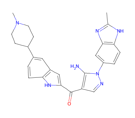 Cc1nc2cc(-n3ncc(C(=O)c4cc5cc(C6CCN(C)CC6)ccc5[nH]4)c3N)ccc2[nH]1